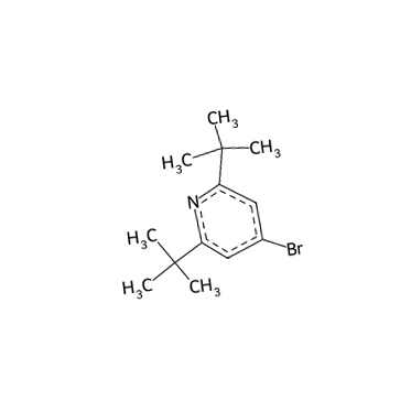 CC(C)(C)c1cc(Br)cc(C(C)(C)C)n1